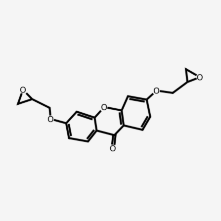 O=c1c2ccc(OCC3CO3)cc2oc2cc(OCC3CO3)ccc12